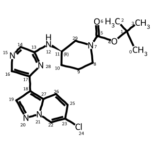 CC(C)(C)OC(=O)N1CCC[C@@H](Nc2cncc(-c3cnn4cc(Cl)ccc34)n2)C1